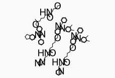 COCCCNC(=O)CCCCC(C)Oc1ccc2nc(-c3ccccc3)n(-c3ccc4c(c3)CCC4)c2c1.Cc1ccc(-n2c(-c3ccccc3)nc3ccc(OCCCCCC(=O)NCCCn4ccnc4)cc32)cc1C.Cc1ccc(-n2c(-c3ccccc3)nc3ccc(OCCCCCC(=O)NCCc4ccccn4)cc32)cc1C